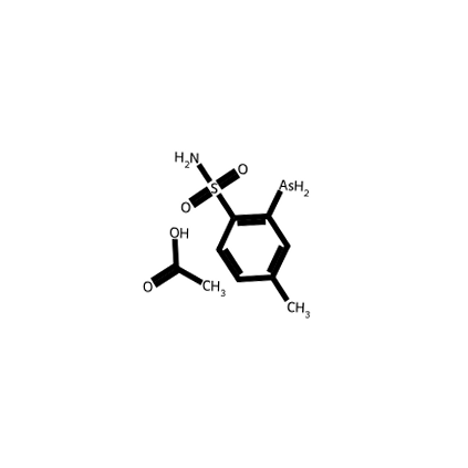 CC(=O)O.Cc1ccc(S(N)(=O)=O)c([AsH2])c1